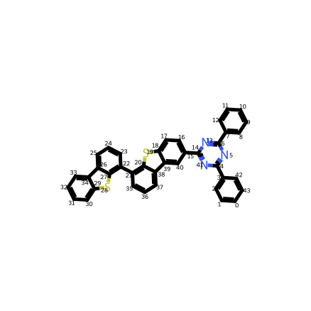 c1ccc(-c2nc(-c3ccccc3)nc(-c3ccc4sc5c(-c6cccc7c6sc6ccccc67)cccc5c4c3)n2)cc1